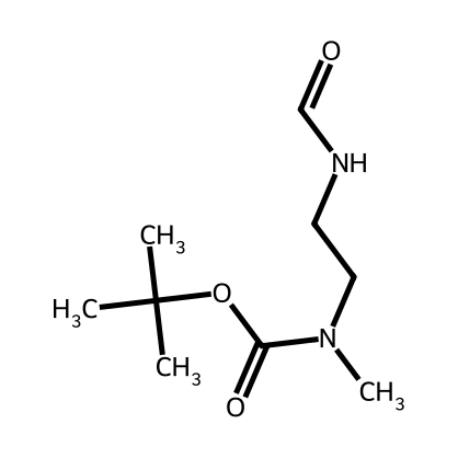 CN(CCNC=O)C(=O)OC(C)(C)C